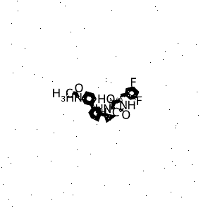 CC(=O)Nc1cccc(-c2cccc(C3(NC[C@H](O)[C@H](Cc4cc(F)cc(F)c4)NC(C)=O)CC3)c2)c1